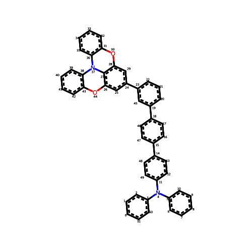 c1ccc(N(c2ccccc2)c2ccc(-c3ccc(-c4cccc(-c5cc6c7c(c5)Oc5ccccc5N7c5ccccc5O6)c4)cc3)cc2)cc1